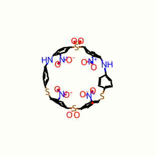 O=[N+]([O-])c1cc2ccc1Nc1ccc(cc1)Sc1ccc(cc1[N+](=O)[O-])S(=O)(=O)c1ccc(c([N+](=O)[O-])c1)Sc1ccc(cc1)Nc1ccc(cc1[N+](=O)[O-])S2(=O)=O